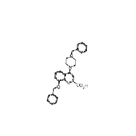 O=C(O)c1cc(N2CCN(Cc3ccccc3)CC2)c2cccc(OCc3ccccc3)c2n1